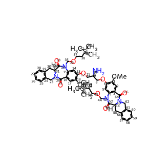 COc1cc2c(cc1OCC(N)COc1cc3c(cc1OC)C(=O)N1Cc4ccccc4C[C@H]1C(=O)N3COCC[Si](C)(C)C)N(COCC[Si](C)(C)C)C(=O)[C@@H]1Cc3ccccc3CN1C2=O